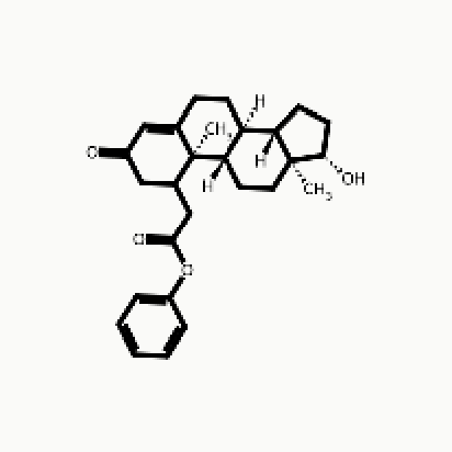 C[C@]12CC[C@H]3[C@@H](CCC4=CC(=O)CC(CC(=O)Oc5ccccc5)[C@@]43C)[C@@H]1CC[C@@H]2O